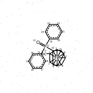 CC(=O)[C]12[CH]3[CH]4[CH]5[CH]1[Fe]45321678[CH]2[CH]1[CH]6[C]7(P(=O)(c1ccccc1)c1ccccc1)[CH]28